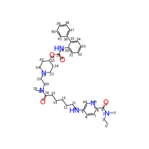 CCN(C)C(=O)c1ccc(NCCCCCC(=O)N(C)CCN2CCC(OC(=O)Nc3ccccc3-c3ccccc3)CC2)cn1